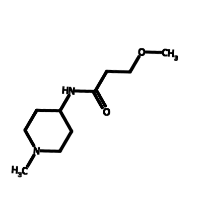 COCCC(=O)NC1CCN(C)CC1